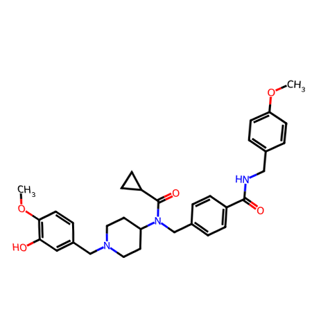 COc1ccc(CNC(=O)c2ccc(CN(C(=O)C3CC3)C3CCN(Cc4ccc(OC)c(O)c4)CC3)cc2)cc1